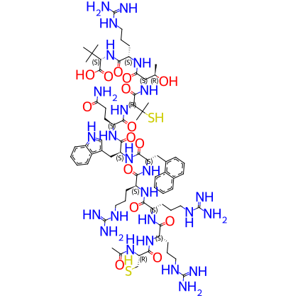 CC(=O)N[C@@H](CS)C(=O)N[C@@H](CCCNC(=N)N)C(=O)N[C@@H](CCCNC(=N)N)C(=O)N[C@@H](CCCNC(=N)N)C(=O)N[C@@H](Cc1cccc2ccccc12)C(=O)N[C@@H](Cc1c[nH]c2ccccc12)C(=O)N[C@@H](CCC(N)=O)C(=O)N[C@H](C(=O)N[C@H](C(=O)N[C@@H](CCCNC(=N)N)C(=O)N[C@H](C(=O)O)C(C)(C)C)[C@@H](C)O)C(C)(C)S